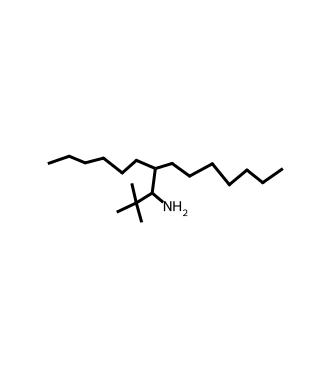 CCCCCCCC(CCCCCC)C(N)C(C)(C)C